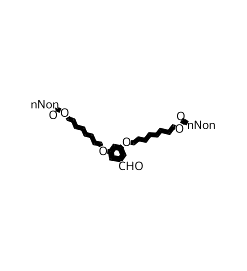 CCCCCCCCCC(=O)OCCCCCCCCOc1cc(C=O)cc(OCCCCCCCCOC(=O)CCCCCCCCC)c1